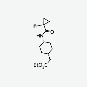 CCOC(=O)C[C@H]1CC[C@H](NC(=O)C2(C(C)C)CC2)CC1